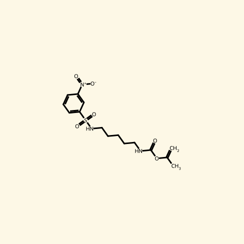 C=C(C)OC(=O)NCCCCCNS(=O)(=O)c1cccc([N+](=O)[O-])c1